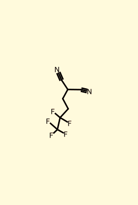 N#CC(C#N)CCC(F)(F)C(F)(F)F